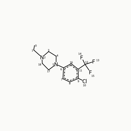 CCN1CCN(c2ccc(Cl)c(C(F)(F)F)c2)CC1